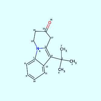 CC(C)(C)c1c2n(c3ccccc13)CCC(=O)C2